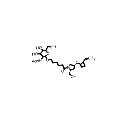 C=CC1CCC1O[C@@H]1C[C@@H](CO)N(C(=O)CCCCCOC2OC(CO)C(O)C(O)C2NC(C)=O)C1